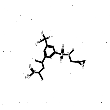 CC(CC(C)c1cc(C(F)(F)F)cc(S(=O)(=O)N(C)CC2CO2)c1)C(=O)O